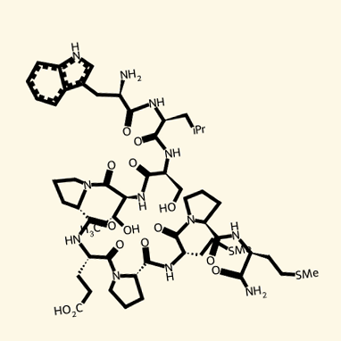 CSCC[C@H](NC(=O)[C@@H]1CCCN1C(=O)[C@H](CCSC)NC(=O)[C@@H]1CCCN1C(=O)[C@H](CCC(=O)O)NC(=O)[C@@H]1CCCN1C(=O)[C@@H](NC(=O)[C@H](CO)NC(=O)[C@H](CC(C)C)NC(=O)[C@H](N)Cc1c[nH]c2ccccc12)[C@@H](C)O)C(N)=O